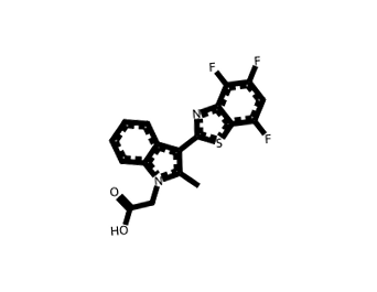 Cc1c(-c2nc3c(F)c(F)cc(F)c3s2)c2ccccc2n1CC(=O)O